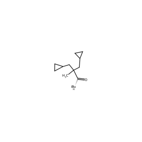 CC[C@@H](C)C(=O)C(C)(CC1CC1)CC1CC1